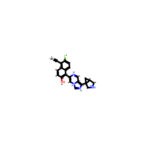 C#Cc1c(F)ccc2c(-c3cn4cnc(C56CNCC5C6)c4cn3)c(O)ccc12